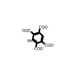 O=C([O-])c1cc(C(=O)[O-])c(C(=O)[O-])cc1C(=O)[O-].[Mn+4]